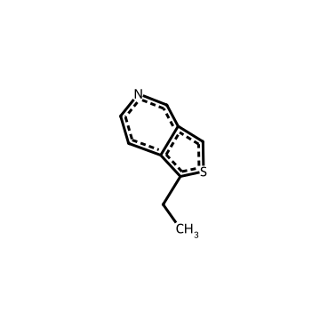 CCc1scc2cnccc12